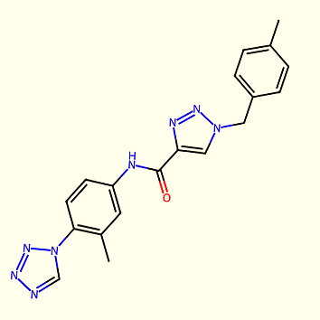 Cc1ccc(Cn2cc(C(=O)Nc3ccc(-n4cnnn4)c(C)c3)nn2)cc1